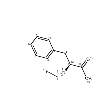 CF.N[C@@H](Cc1ccccc1)C(=O)O